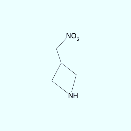 O=[N+]([O-])CC1CNC1